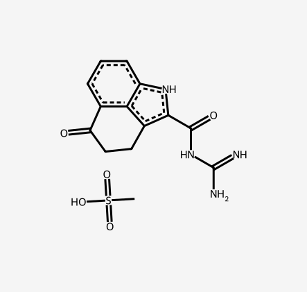 CS(=O)(=O)O.N=C(N)NC(=O)c1[nH]c2cccc3c2c1CCC3=O